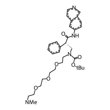 CNCCOCCOCCOCCN(C[C@@H](C(=O)Nc1ccc2cnccc2c1)c1ccccc1)C(=O)OC(C)(C)C